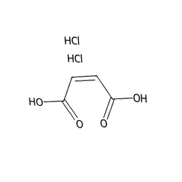 Cl.Cl.O=C(O)/C=C\C(=O)O